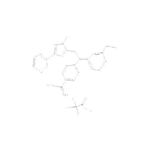 CCc1cccc(N(Cc2nc(-c3ccccc3)nn2C)c2ccc(C(=N)N)cc2)c1.O=C(O)C(F)(F)F